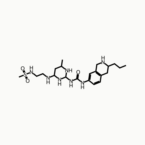 CCCC1Cc2ccc(NC(=O)NC3NC(C)CC(NCCNS(C)(=O)=O)N3)cc2CN1